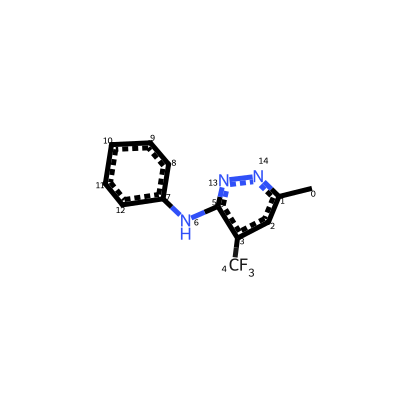 Cc1cc(C(F)(F)F)c(Nc2ccccc2)nn1